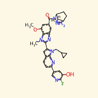 COc1cc(C(=O)N2CC3CCC2[C@@H]3N)cc2nc(-c3cc4ccc(-c5cnc(F)c(O)c5)nc4n3CC3CC3)n(C)c12